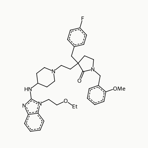 CCOCCn1c(NC2CCN(CCC3(Cc4ccc(F)cc4)CCN(Cc4ccccc4OC)C3=O)CC2)nc2ccccc21